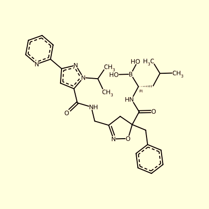 CC(C)C[C@H](NC(=O)C1(Cc2ccccc2)CC(CNC(=O)c2cc(-c3ccccn3)nn2C(C)C)=NO1)B(O)O